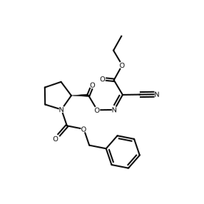 CCOC(=O)/C(C#N)=N\OC(=O)[C@@H]1CCCN1C(=O)OCc1ccccc1